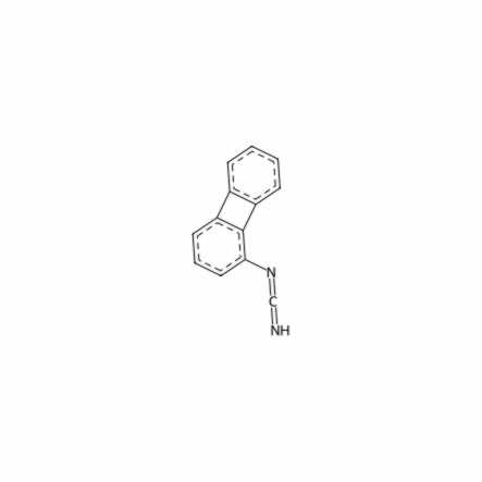 N=C=Nc1cccc2c1-c1ccccc1-2